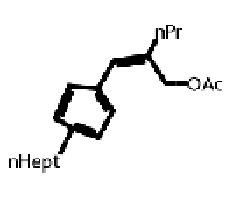 CCCCCCCc1ccc(C=C(CCC)COC(C)=O)cc1